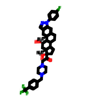 C[C@]12Cc3cnn(-c4ccc(F)cc4)c3C=C1CCC1C2[C@@H](O)C[C@@]2(C)C1CC[C@]2(O)C(=O)CN1CCN(Cc2ccc(C(F)(F)F)cc2)CC1